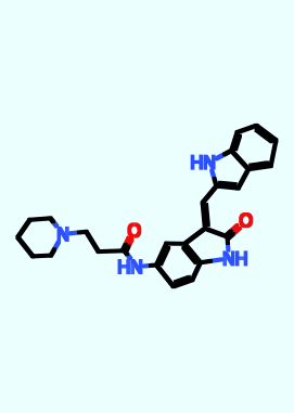 O=C(CCN1CCCCC1)Nc1ccc2c(c1)C(=Cc1cc3ccccc3[nH]1)C(=O)N2